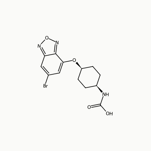 O=C(O)N[C@H]1CC[C@@H](Oc2cc(Br)cc3nonc23)CC1